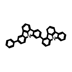 C1=Cc2c3n(c4ccccc24)-c2cccc(-c4ccc5c6cccc7c8cc(-c9ccccc9)ccc8n(c5c4)c76)c2C3C1